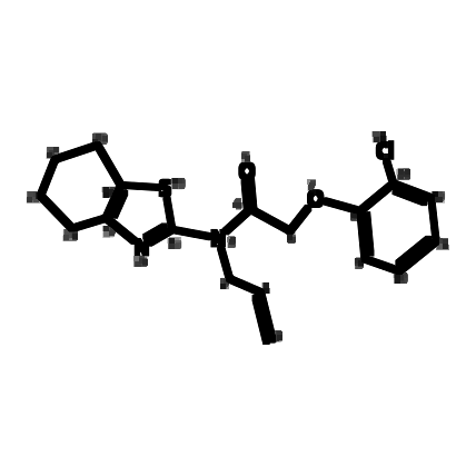 C=CCN(C(=O)COc1ccccc1Cl)c1nc2c(s1)CCCC2